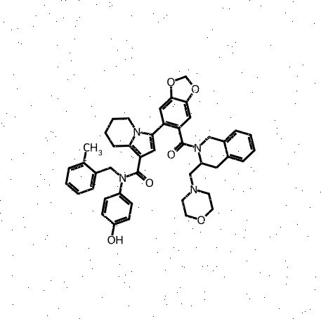 Cc1ccccc1CN(C(=O)c1cc(-c2cc3c(cc2C(=O)N2Cc4ccccc4CC2CN2CCOCC2)OCO3)n2c1CCCC2)c1ccc(O)cc1